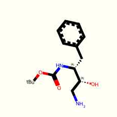 CC(C)(C)OC(=O)N[C@H](Cc1ccccc1)[C@H](O)CN